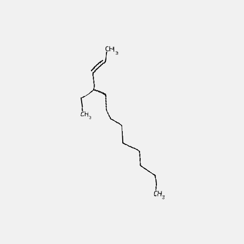 CC=CC(CC)CCCCCCCC